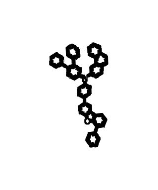 c1ccc(-c2ccc(N(c3ccc(-c4ccc5oc6c(-c7ccccc7)cccc6c5c4)cc3)c3ccc4ccc5ccccc5c4c3)cc2-c2ccccc2)cc1